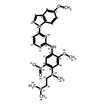 COc1ccc2c(cnn2-c2ccnc(Nc3cc([N+](=O)[O-])c(N(C)CCN(C)C)cc3OC)n2)c1